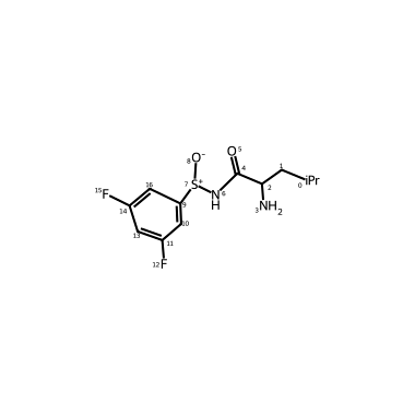 CC(C)CC(N)C(=O)N[S+]([O-])c1cc(F)cc(F)c1